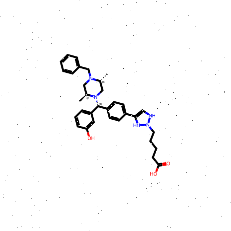 C[C@@H]1CN([C@H](c2ccc(C3=CNN(CCCCC(=O)O)N3)cc2)c2cccc(O)c2)[C@@H](C)CN1Cc1ccccc1